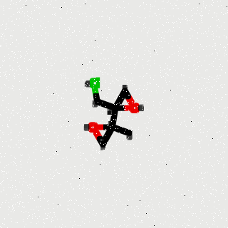 CC1(C2(CCl)CO2)CO1